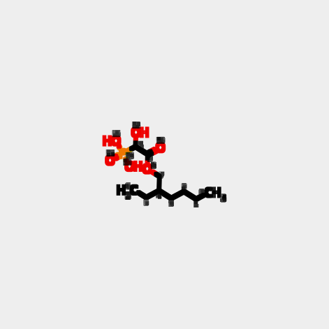 CCCCC(CC)COC(=O)C(O)P(=O)(O)O